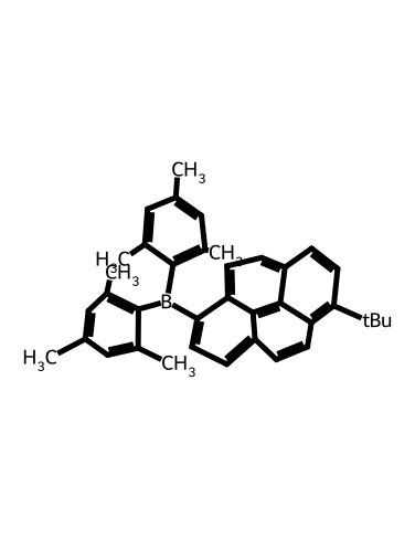 Cc1cc(C)c(B(c2c(C)cc(C)cc2C)c2ccc3ccc4c(C(C)(C)C)ccc5ccc2c3c54)c(C)c1